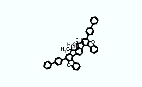 CC1(C)c2cc(-c3ccc(-c4ccccc4)cc3)c3oc4ccccc4c3c2-c2ccc3c(c21)C(C)(C)c1cc(-c2ccc(-c4ccccc4)cc2)c2oc4ccccc4c2c1-3